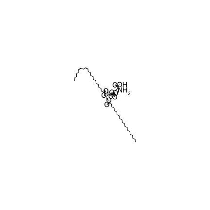 CCCCC/C=C\C/C=C\CCCCCCCCCCCC(=O)O[C@H](COC(=O)CCCCCCCCCCCCCCCCCCCC)COP(=O)(O)OC[C@H](N)C(=O)O